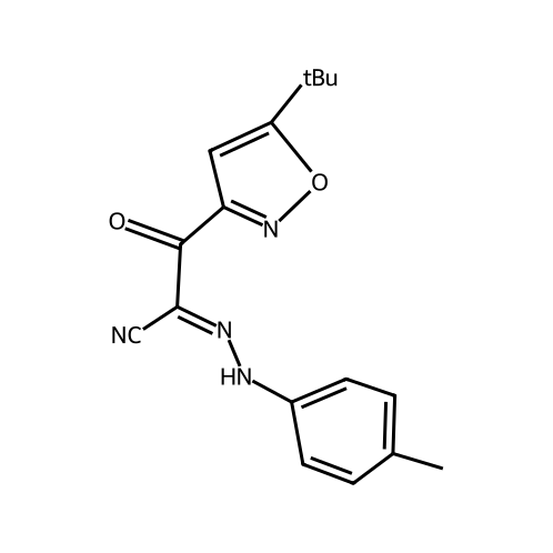 Cc1ccc(N/N=C(\C#N)C(=O)c2cc(C(C)(C)C)on2)cc1